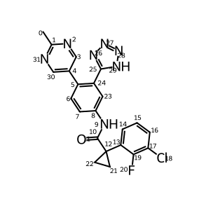 Cc1ncc(-c2ccc(NC(=O)C3(c4cccc(Cl)c4F)CC3)cc2-c2nnn[nH]2)cn1